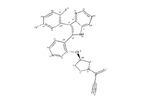 C#CC(=O)N1CC[C@@H](Oc2cnccc2-c2[nH]c3cccnc3c2-c2cc(C)ccc2F)C1